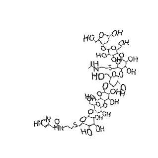 C=C(C)NCCSCC1OC(OC2C(CO)OC(OC3CC(O)COC3CO)C(O)C2O)C(O)C(O)C1OC1OC(CO)C(OC2OC(CO)C(OC3OC(CO)C(OC4OC(CSCCNC(=O)Cc5c[nH]cn5)C(O)C(O)C4O)CC3O)C(O)C2O)CC1O